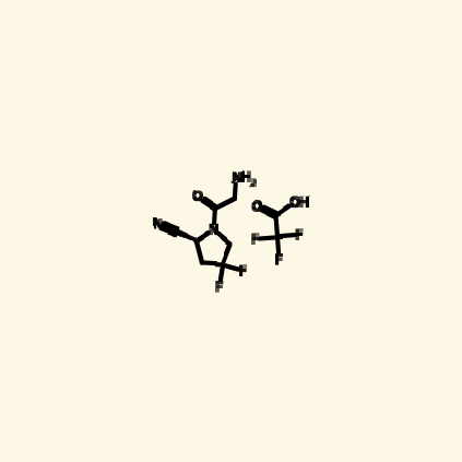 N#C[C@@H]1CC(F)(F)CN1C(=O)CN.O=C(O)C(F)(F)F